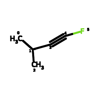 C[C](C)C#CF